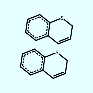 C1=Cc2ccccc2SC1.C1=Cc2ccccc2SC1